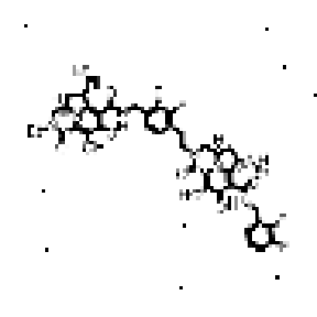 CCNC1C[C@@H]2CN(CC)C(=O)c3c(O)c(=O)c(C(=O)NCc4ccc(CCN5C[C@H]6C[C@H](NCC)c7c(C(=O)NCc8cccc(F)c8F)c(=O)c(O)c(n76)C5=O)c(F)c4F)c1n32